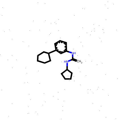 C=C(Nc1cccc(C2CCCCC2)c1)NC1CCCC1